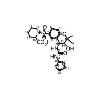 CC1(C)Oc2ccc(S(=O)(=O)N3CCCCC3C(=O)O)cc2[C@@H](NC(=O)Nc2nccs2)[C@@H]1O